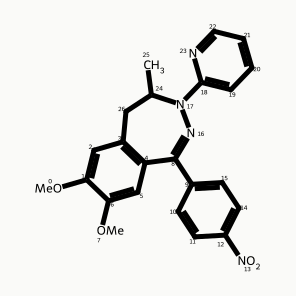 COc1cc2c(cc1OC)C(c1ccc([N+](=O)[O-])cc1)=NN(c1ccccn1)C(C)C2